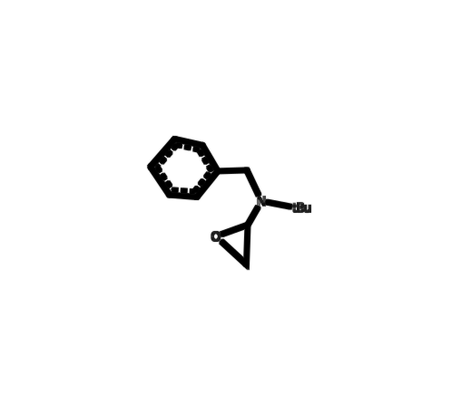 CC(C)(C)N(Cc1ccccc1)C1CO1